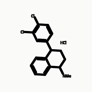 CNC1CCC(c2ccc(Cl)c(Cl)c2)c2ccccc21.Cl